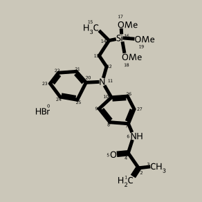 Br.C=C(C)C(=O)Nc1ccc(N(CCC(C)[Si](OC)(OC)OC)c2ccccc2)cc1